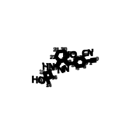 C#Cc1ccc(-c2nnc(NC3CC(C)(O)C3)c3c2CCCC3)c(O)c1C#N